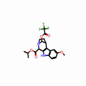 COc1ccc2[nH]c3c(c2c1)C1CCN(C3C(=O)OC(C)C)C1OC(=O)C(F)(F)F